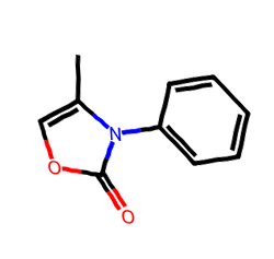 Cc1coc(=O)n1-c1ccccc1